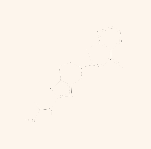 CNC(=O)Nc1nc2c(s1)CN(c1cc(=O)c3ccccc3o1)CC2